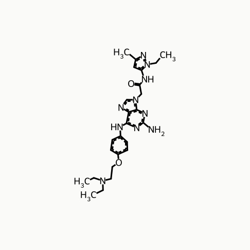 CCN(CC)CCOc1ccc(Nc2nc(N)nc3c2ncn3CC(=O)Nc2cc(C)nn2CC)cc1